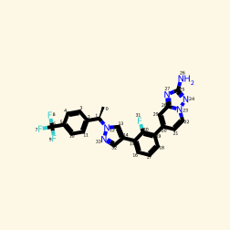 C[C@H](c1ccc(C(F)(F)F)cc1)n1cc(-c2cccc(-c3ccn4nc(N)nc4c3)c2F)cn1